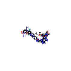 COc1ccc(CN2C3COCC2CN(c2ccc(-c4nc(-c5cnn(C6CCC(N7CCN(c8cc(F)c(NC9CCC(=O)NC9=O)cc8F)CC7)CC6)c5)cn5ncc(C#N)c45)cn2)C3)cn1